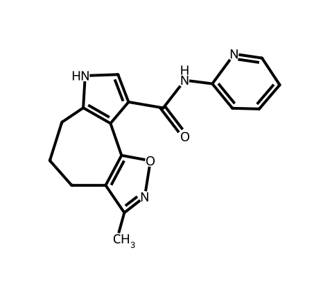 Cc1noc2c1CCCc1[nH]cc(C(=O)Nc3ccccn3)c1-2